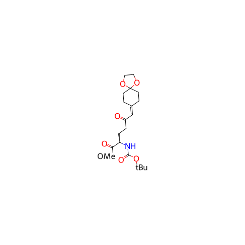 COC(=O)[C@@H](CCC(=O)C=C1CCC2(CC1)OCCO2)NC(=O)OC(C)(C)C